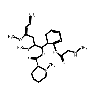 C=C/C=C(\CC(OC)C(OC(=O)[C@@H]1CCCCN1C)C1CC=CC=C1NC(=O)CNN)OC